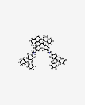 C(=C\c1ccc2c(-c3cccc4ccccc34)c(-c3cccc4ccccc34)c3ccc(/C=C/c4ccc(N(c5ccccc5)c5ccccc5)cc4)cc3c2c1)/c1ccc(N(c2ccccc2)c2ccccc2)cc1